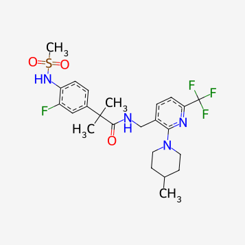 CC1CCN(c2nc(C(F)(F)F)ccc2CNC(=O)C(C)(C)c2ccc(NS(C)(=O)=O)c(F)c2)CC1